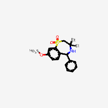 CCC1(CC)CS(=O)(=O)c2cc(OS(=O)(=O)O)ccc2C(c2ccccc2)N1